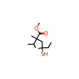 CCC(C)(S)CC(C)(C(=O)OC)C(C)C